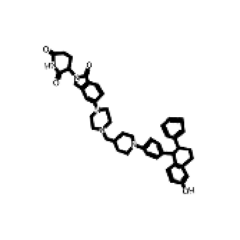 O=C1CCC(N2Cc3cc(N4CCN(CC5CCN(c6ccc(C7c8ccc(O)cc8CCC7c7ccccc7)cc6)CC5)CC4)ccc3C2=O)C(=O)N1